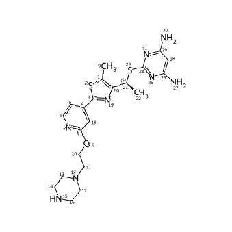 Cc1sc(-c2ccnc(OCCN3CCNCC3)c2)nc1[C@H](C)Sc1nc(N)cc(N)n1